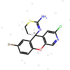 NC1=N[C@]2(CCS1)c1cc(Br)ccc1Oc1cnc(Cl)cc12